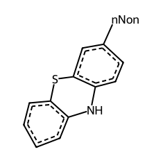 CCCCCCCCCc1ccc2c(c1)Sc1ccccc1N2